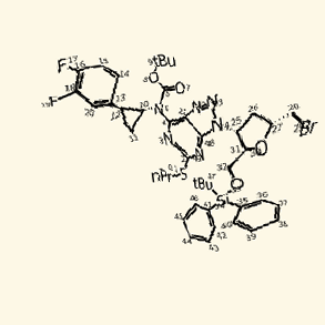 CCCSc1nc(N(C(=O)OC(C)(C)C)[C@@H]2C[C@H]2c2ccc(F)c(F)c2)c2nnn([C@@H]3C[C@H](CBr)O[C@H]3CO[Si](c3ccccc3)(c3ccccc3)C(C)(C)C)c2n1